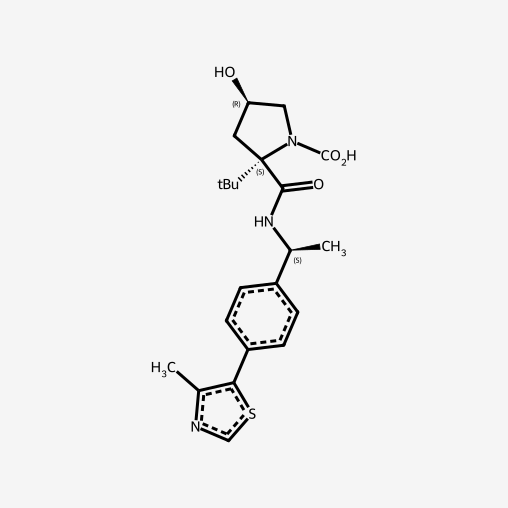 Cc1ncsc1-c1ccc([C@H](C)NC(=O)[C@@]2(C(C)(C)C)C[C@@H](O)CN2C(=O)O)cc1